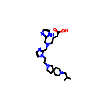 CC(C)CN1CCC2(CC1)CCN(CCn1ccnc1CN(CCCC(=O)O)Cc1ncc[nH]1)C2